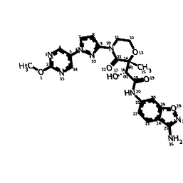 COc1ncc(-n2ccc(N3CCO[C@](C)([C@@H](O)C(=O)Nc4ccc5c(N)noc5c4)C3=O)n2)cn1